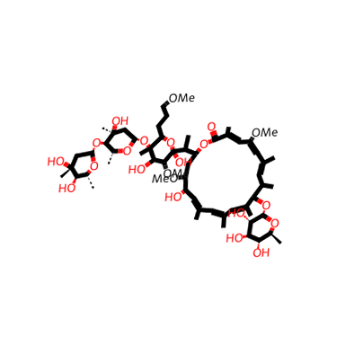 COCCCC1OC(O)(C(C)C2CC(OC)C(O)/C=C(C)/C=C(C)/C=C(\C)C(O[C@@H]3O[C@@H](C)[C@H](O)[C@@H](O)[C@@H]3O)C(C)/C=C(C)/C=C(OC)\C=C(/C)C(=O)O2)C(OC)C(O)C1(C)O[C@H]1C[C@](C)(O)[C@H](O[C@H]2C[C@@](C)(O)[C@H](O)[C@@H](C)O2)[C@@H](C)O1